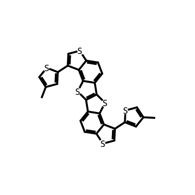 Cc1csc(-c2csc3ccc4c5sc6c(ccc7scc(-c8cc(C)cs8)c76)c5sc4c23)c1